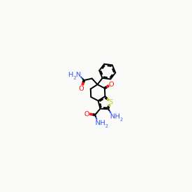 NC(=O)CC1(c2ccccc2)CCc2c(sc(N)c2C(N)=O)C1=O